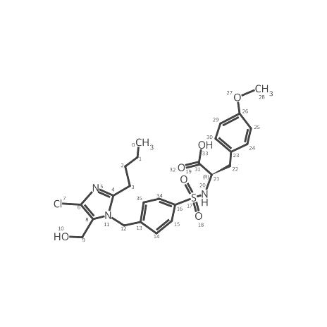 CCCCc1nc(Cl)c(CO)n1Cc1ccc(S(=O)(=O)N[C@H](Cc2ccc(OC)cc2)C(=O)O)cc1